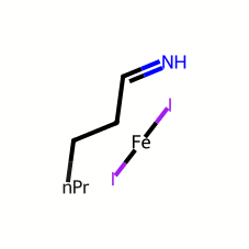 CCCCCC=N.[I][Fe][I]